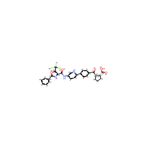 O=C(Nc1ccc(-c2ccc(C(=O)[C@@H]3CCC[C@H]3C(=O)O)cc2)nc1)c1nc(-c2ccccc2)oc1C(F)(F)F